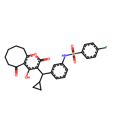 O=C1CCCCCc2oc(=O)c(C(c3cccc(NS(=O)(=O)c4ccc(F)cc4)c3)C3CC3)c(O)c21